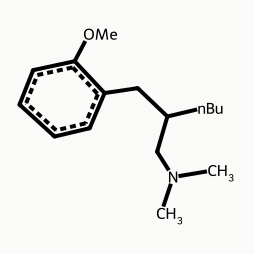 CCCCC(Cc1ccccc1OC)CN(C)C